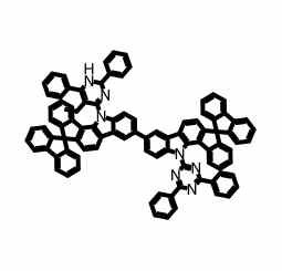 CCC1=C(c2ccccc2)NC(c2ccccc2)N=C1n1c2ccc(-c3ccc4c(c3)c3ccc5c(c3n4-c3nc(-c4ccccc4)nc(-c4ccccc4)n3)-c3ccccc3C53c4ccccc4-c4ccccc43)cc2c2ccc3c(c21)-c1ccccc1C31c2ccccc2-c2ccccc21